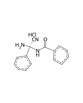 Cl.N#C[C@](N)(NC(=O)c1ccccc1)c1ccccc1